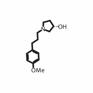 COc1ccc(CCCN2CC[C@H](O)C2)cc1